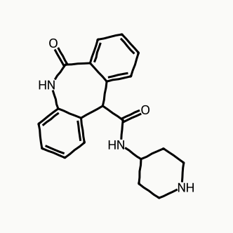 O=C1Nc2ccccc2C(C(=O)NC2CCNCC2)c2ccccc21